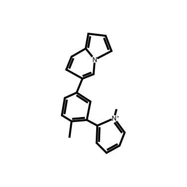 Cc1ccc(-c2ccc3cccn3c2)cc1-c1cccc[n+]1C